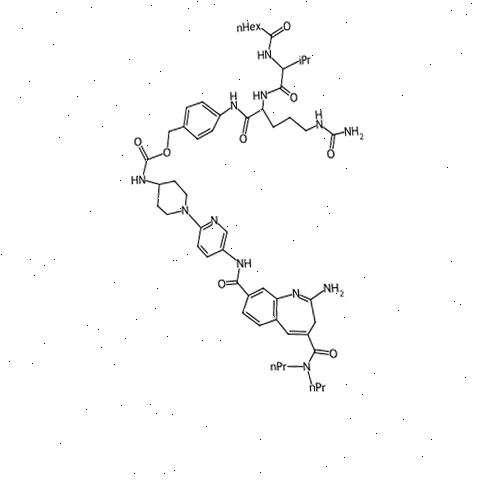 CCCCCCC(=O)NC(C(=O)NC(CCCNC(N)=O)C(=O)Nc1ccc(COC(=O)NC2CCN(c3ccc(NC(=O)c4ccc5c(c4)N=C(N)CC(C(=O)N(CCC)CCC)=C5)cn3)CC2)cc1)C(C)C